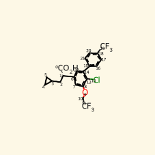 O=C(O)[C@@H](CC1CC1)c1cc(OCC(F)(F)F)c(Cl)c(-c2ccc(C(F)(F)F)cc2)c1